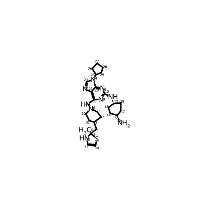 CC1(CC2CCN(Nc3nc(N[C@H]4CC[C@H](N)CC4)nc4c3ncn4C3CCCC3)CC2)NC=CS1